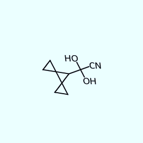 N#CC(O)(O)C1C2(CC2)C12CC2